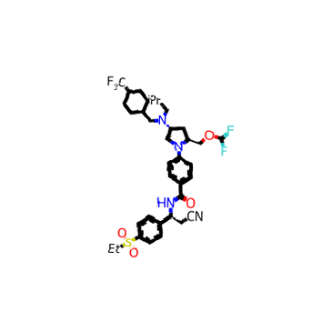 CCS(=O)(=O)c1ccc([C@H](CC#N)NC(=O)c2ccc(N3C[C@@H](N(CC(C)C)CC4CCC(C(F)(F)F)CC4)C[C@H]3COC(F)F)cc2)cc1